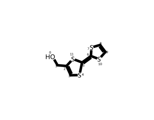 OCC1=CSC(=C2SC=CS2)S1